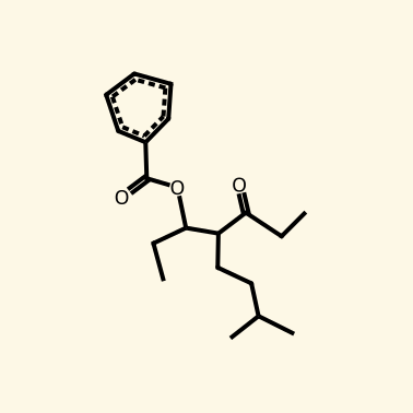 CCC(=O)C(CCC(C)C)C(CC)OC(=O)c1ccccc1